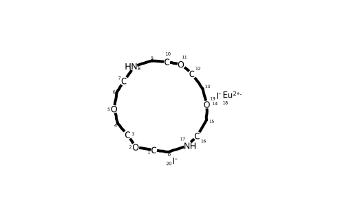 C1COCCOCCNCCOCCOCCN1.[Eu+2].[I-].[I-]